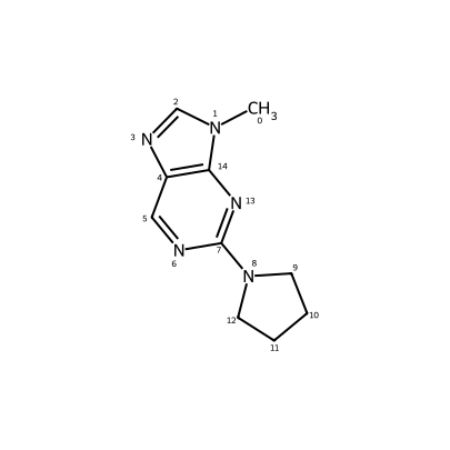 Cn1cnc2cnc(N3CCCC3)nc21